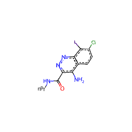 CCCNC(=O)c1nnc2c(I)c(Cl)ccc2c1N